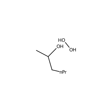 CCCCC(C)O.OO